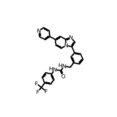 O=C(NCc1cccc(-c2cnc3cc(-c4ccncc4)ccn23)c1)Nc1ccc(C(F)(F)F)cc1